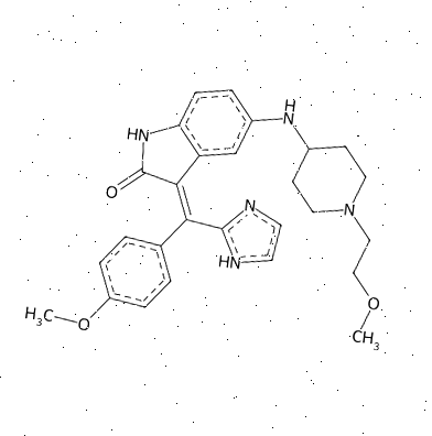 COCCN1CCC(Nc2ccc3c(c2)C(=C(c2ccc(OC)cc2)c2ncc[nH]2)C(=O)N3)CC1